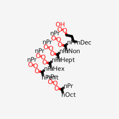 CCCCCC(CCC)OOOCCC.CCCCCCC(CCC)OOOCCC.CCCCCCCC(CCC)OOOCCC.CCCCCCCCC(CCC)OOOCCC.CCCCCCCCCC(CCC)OOOCCC.CCCCCCCCCCCCCOOO